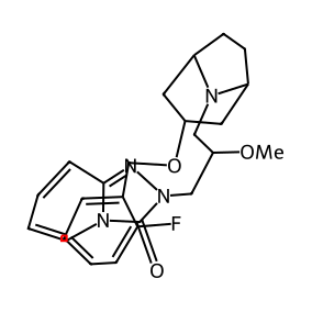 COC(CN1C2CCC1CC(OCc1ccccc1F)C2)Cn1nc2ccccn2c1=O